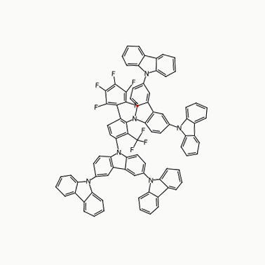 Fc1c(F)c(F)c(-c2ccc(-n3c4ccc(-n5c6ccccc6c6ccccc65)cc4c4cc(-n5c6ccccc6c6ccccc65)ccc43)c(C(F)(F)F)c2-n2c3ccc(-n4c5ccccc5c5ccccc54)cc3c3cc(-n4c5ccccc5c5ccccc54)ccc32)c(F)c1F